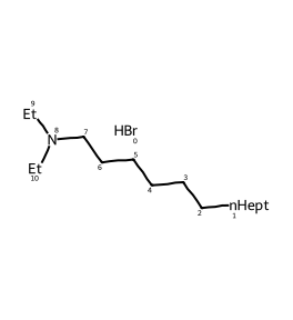 Br.CCCCCCCCCCCCCN(CC)CC